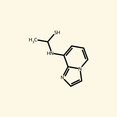 CC(S)Nc1cccn2ccnc12